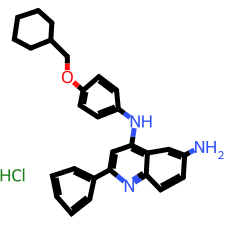 Cl.Nc1ccc2nc(-c3ccccc3)cc(Nc3ccc(OCC4CCCCC4)cc3)c2c1